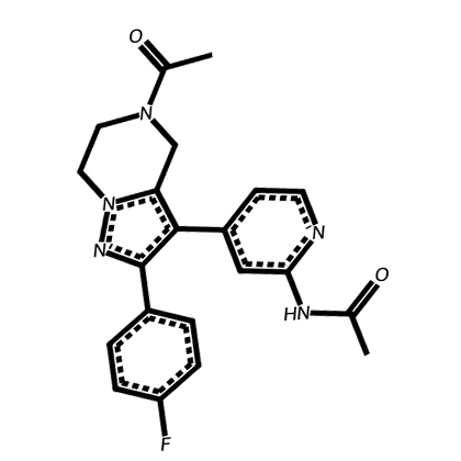 CC(=O)Nc1cc(-c2c(-c3ccc(F)cc3)nn3c2CN(C(C)=O)CC3)ccn1